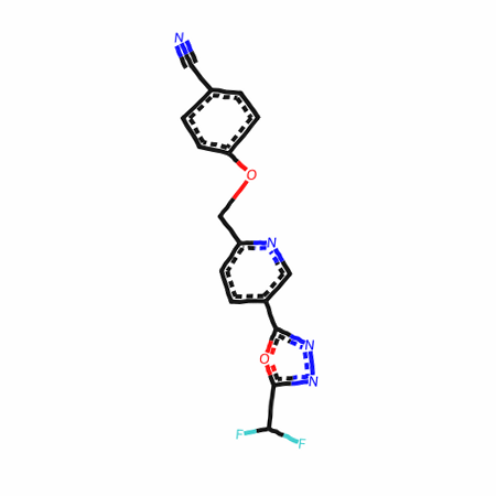 N#Cc1ccc(OCc2ccc(-c3nnc(C(F)F)o3)cn2)cc1